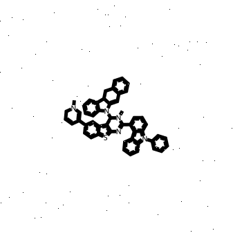 CN1C=C(c2ccc3sc4c(c3c2)C(N2C3=Cc5ccccc5CC3c3ccccc32)N(C)C(c2cccc3c2c2ccccc2n3-c2ccccc2)=N4)C=CC1